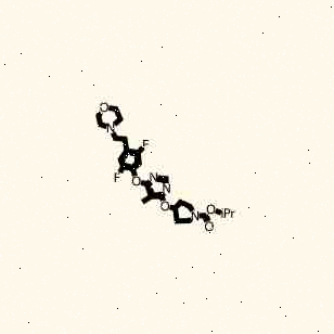 Cc1c(Oc2cc(F)c(CCN3CCOCC3)cc2F)ncnc1OC1CCN(C(=O)OC(C)C)CC1